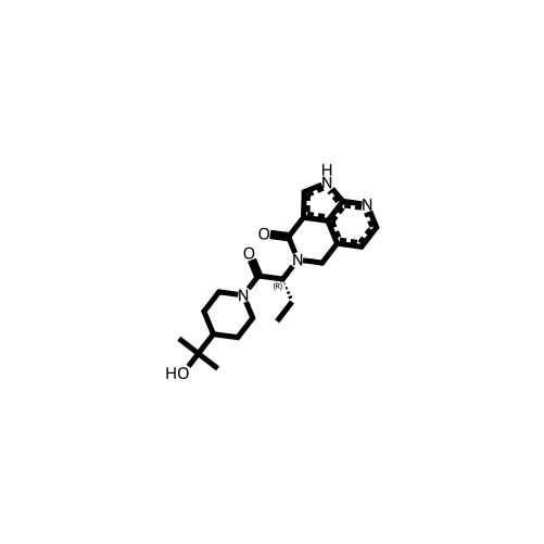 CC[C@H](C(=O)N1CCC(C(C)(C)O)CC1)N1Cc2ccnc3[nH]cc(c23)C1=O